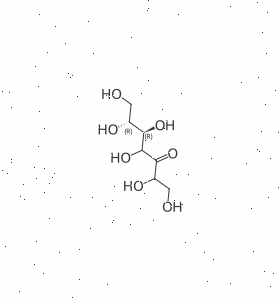 O=C(C(O)CO)C(O)[C@H](O)[C@H](O)CO